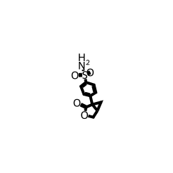 NS(=O)(=O)c1ccc(C23CC2COC3=O)cc1